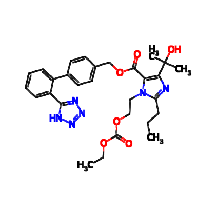 CCCc1nc(C(C)(C)O)c(C(=O)OCc2ccc(-c3ccccc3-c3nnn[nH]3)cc2)n1CCOC(=O)OCC